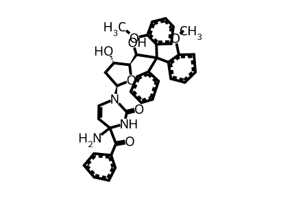 COc1ccccc1C(c1ccccc1)(c1ccccc1OC)C(O)[C@H]1O[C@@H](N2C=CC(N)(C(=O)c3ccccc3)NC2=O)C[C@@H]1O